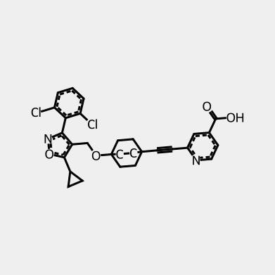 O=C(O)c1ccnc(C#CC23CCC(OCc4c(-c5c(Cl)cccc5Cl)noc4C4CC4)(CC2)CC3)c1